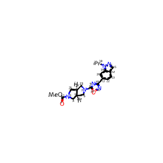 COC(=O)N1C[C@H]2CN(c3nc(-c4ccc5cnn(C(C)C)c5c4)no3)C[C@@H]2C1